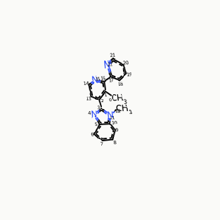 Cc1c(-c2nc3ccccc3n2C)ccnc1-c1ccccn1